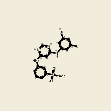 CNS(=O)(=O)c1cccc(Nc2cc(Nc3cc(C)cc(Br)c3)ncn2)c1